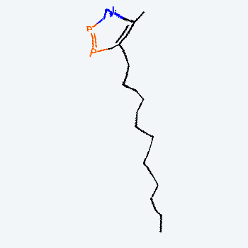 CCCCCCCCCCC1=C(C)[N]P=P1